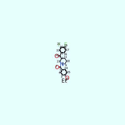 CCOc1ccc(C(=O)N2CCCC(C(=O)c3ccc(F)c(F)c3)C2)cc1